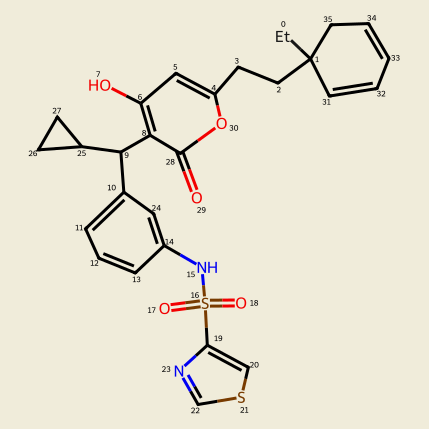 CCC1(CCc2cc(O)c(C(c3cccc(NS(=O)(=O)c4cscn4)c3)C3CC3)c(=O)o2)C=CC=CC1